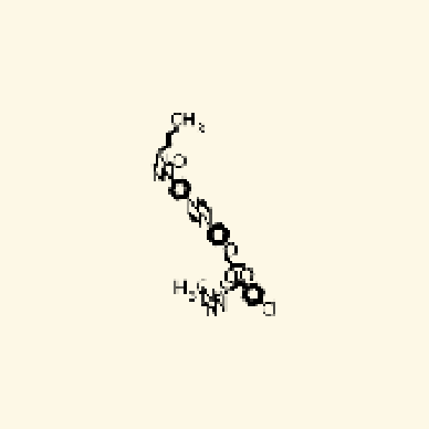 CCCCCn1cnn(-c2ccc(N3CCN(c4ccc(OCC5COC(CSc6nncn6C)(c6ccc(Cl)cc6)O5)cc4)CC3)cc2)c1=O